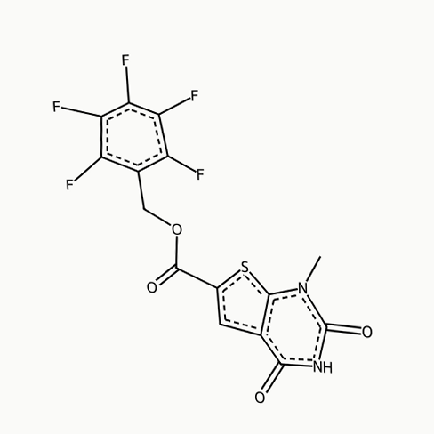 Cn1c(=O)[nH]c(=O)c2cc(C(=O)OCc3c(F)c(F)c(F)c(F)c3F)sc21